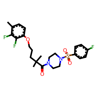 Cc1ccc(OCCCC(C)(C)C(=O)N2CCN(S(=O)(=O)c3ccc(F)cc3)CC2)c(F)c1F